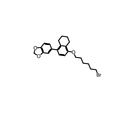 BrCCCCCCOc1ccc(-c2ccc3c(c2)OCO3)c2c1CCCC2